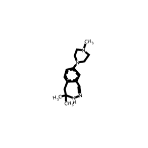 CN1CCN(c2ccc3c(c2)C=NNC(C)(C)C3)CC1